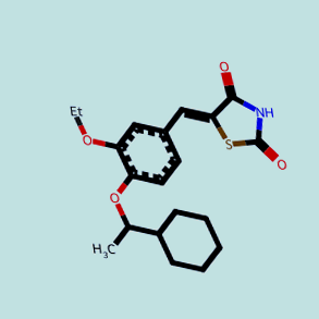 CCOc1cc(/C=C2\SC(=O)NC2=O)ccc1OC(C)C1CCCCC1